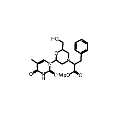 COC(=O)C(Cc1ccccc1)N1CC(CO)OC(n2cc(C)c(=O)[nH]c2=O)C1